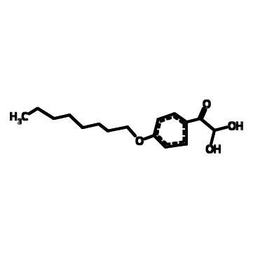 CCCCCCCCOc1ccc(C(=O)C(O)O)cc1